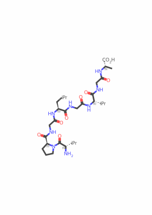 CC(C)C[C@H](NC(=O)CNC(=O)[C@@H]1CCCN1C(=O)[C@@H](N)C(C)C)C(=O)NCC(=O)N[C@H](C(=O)NCC(=O)N[C@@H](C)C(=O)O)C(C)C